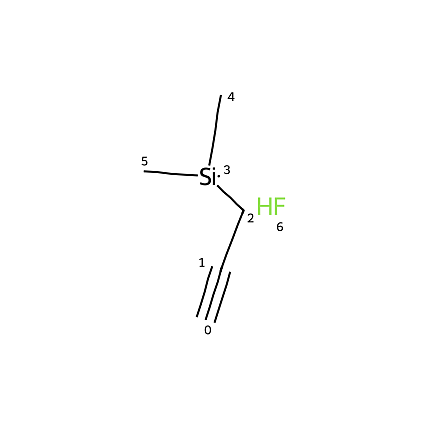 C#CC[Si](C)C.F